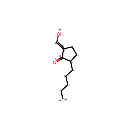 CCCCCC1CCC(=CO)C1=O